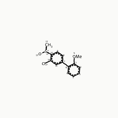 COc1ccc[c]c1-c1ccc([S+](C)[O-])c(Cl)c1